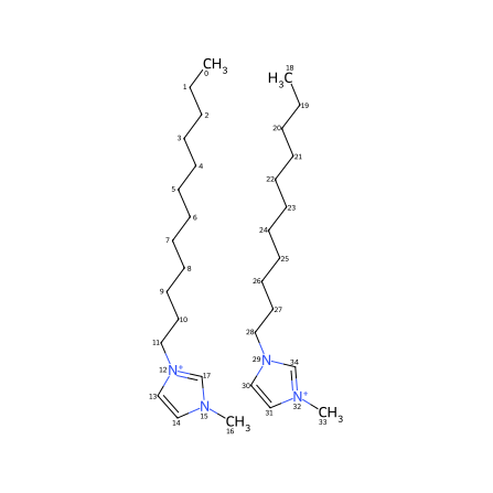 CCCCCCCCCCCC[n+]1ccn(C)c1.CCCCCCCCCCCn1cc[n+](C)c1